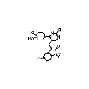 O=C1N(Cc2cnc(Cl)nc2N2CCS(O)(O)CC2)c2cc(F)ccc2C12CC2